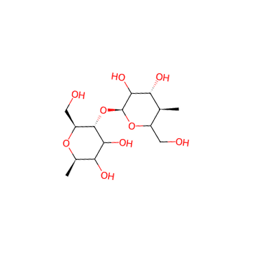 C[C@H]1O[C@@H](CO)[C@H](O[C@@H]2OC(CO)[C@H](C)[C@@H](O)C2O)C(O)C1O